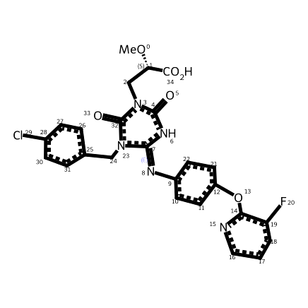 CO[C@@H](Cn1c(=O)[nH]/c(=N\c2ccc(Oc3ncccc3F)cc2)n(Cc2ccc(Cl)cc2)c1=O)C(=O)O